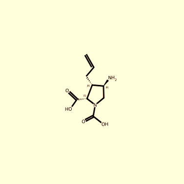 C=CC[C@H]1[C@@H](C(=O)O)N(C(=O)O)C[C@@H]1N